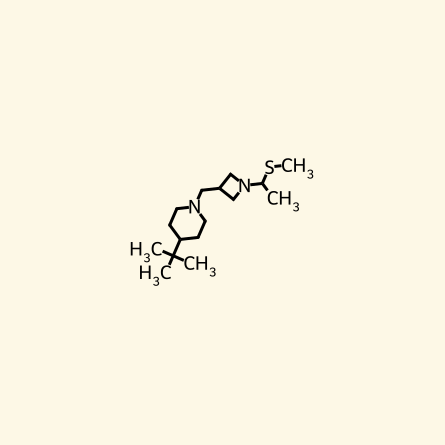 CSC(C)N1CC(CN2CCC(C(C)(C)C)CC2)C1